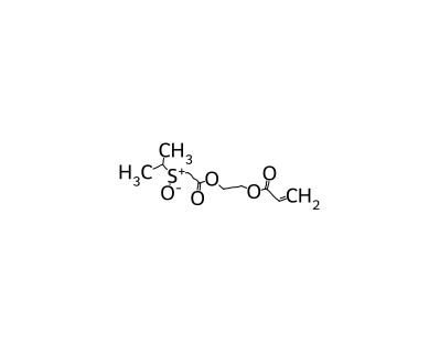 C=CC(=O)OCCOC(=O)C[S+]([O-])C(C)C